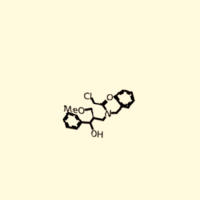 COC[C@@H](CN(Cc1ccccc1)C(=O)CCl)C(O)c1ccccc1